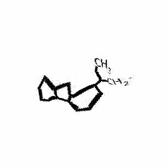 [CH2]C(=CC)c1cccc2c1Cc1ccccc1-2